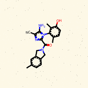 Cc1ccc2c(c1)CN(C(=O)c1nc(C#N)c(N)n1-c1c(C)ccc(O)c1C)C2